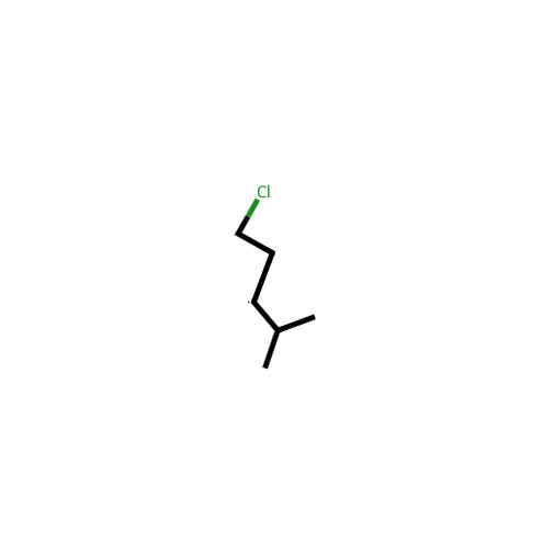 CC(C)[CH]CCCl